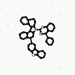 c1ccc(-c2nc(-n3c4ccc5ccccc5c4c4c5ccccc5c(-c5ccc6oc7ccccc7c6c5)cc43)nc3ccccc23)cc1